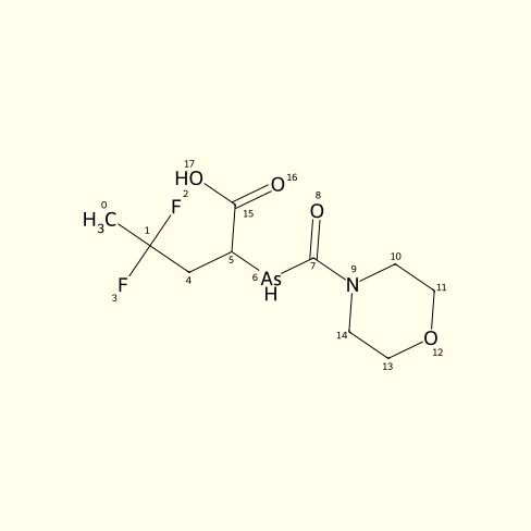 CC(F)(F)CC([AsH]C(=O)N1CCOCC1)C(=O)O